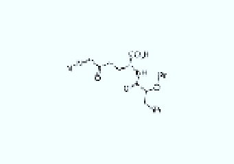 CC(C)CC(OC(C)C)C(=O)NC(CCC(=O)C=[N+]=[N-])C(=O)O